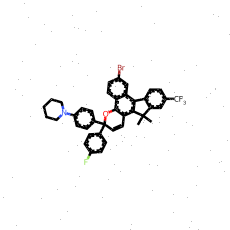 CC1(C)c2cc(C(F)(F)F)ccc2-c2c1c1c(c3ccc(Br)cc23)OC(c2ccc(F)cc2)(c2ccc(N3CCCCC3)cc2)C=C1